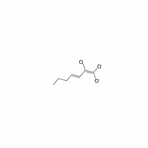 CCCC=CC(Cl)=C(Cl)Cl